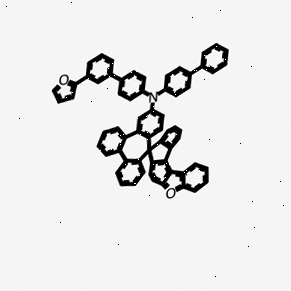 c1ccc(-c2ccc(N(c3ccc(-c4cccc(-c5ccco5)c4)cc3)c3ccc4c(c3)-c3ccccc3-c3ccccc3C43c4ccccc4-c4c3ccc3oc5ccccc5c43)cc2)cc1